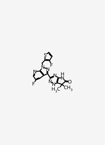 CC1(C)C(=O)Nc2nc(-c3nn(Cc4sccc4F)c4ncc(F)cc34)nnc21